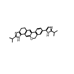 CC(C)c1ncc(-c2ccc3c(c2)COc2cc4c(cc2-3)CCc2nc(C(C)C)[nH]c2-4)[nH]1